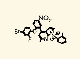 Cc1cc(-c2cc([N+](=O)[O-])ccc2Oc2ccc(Br)cc2F)c2ccn(S(=O)(=O)c3ccccc3C)c2n1